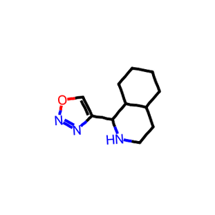 c1onnc1C1NCCC2CCCCC21